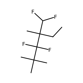 CCC(C)(C(F)F)C(F)(F)C(C)(C)C